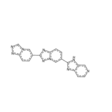 c1cc2nc(-c3ccc4nc(-c5ccc6nncn6c5)nn4c3)[nH]c2cn1